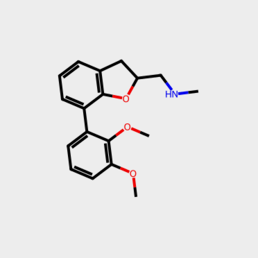 CNCC1Cc2cccc(-c3cccc(OC)c3OC)c2O1